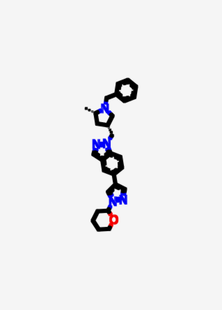 C[C@H]1C[C@@H](Cn2ncc3cc(-c4cnn(C5CCCCO5)c4)ccc32)CN1Cc1ccccc1